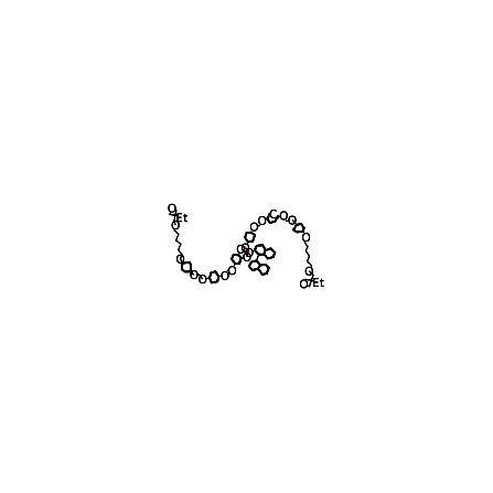 CCC1(COCCCCCCOc2ccc(OCOc3ccc(OCOc4ccc(OCOc5ccc6ccccc6c5-c5c(OCOc6ccc(OCOc7ccc(OCOc8ccc(OCCCCCCOCC9(CC)COC9)cc8)cc7)cc6)ccc6ccccc56)cc4)cc3)cc2)COC1